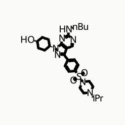 CCCCNc1ncc2c(-c3ccc(S(=O)(=O)N4CCN(C(C)C)CC4)cc3)nn([C@H]3CC[C@H](O)CC3)c2n1